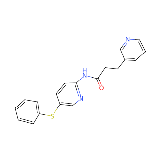 O=C(CCc1cccnc1)Nc1ccc(Sc2ccccc2)cn1